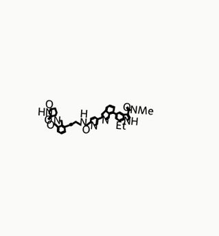 CCc1cc(-c2cccc3cc(-c4ccc(C(=O)NCCC#Cc5cccc6c5CN(C5CCC(=O)NC5=O)C6=O)nc4)ncc23)cc2c(C(=O)NC)c[nH]c12